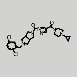 O=C(c1cnn(C(=O)N2CC3CN(Cc4cc(Cl)ccc4Cl)CC3C2)c1)N1CCN(C2CC2)CC1